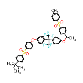 CCC(C)(C)c1ccc(S(=O)(=O)c2ccc(Oc3ccc(C(c4ccc(OC(C)c5ccc(S(=O)(=O)c6ccc(C)cc6)cc5)cc4)(C(F)(F)F)C(F)(F)F)cc3)cc2)cc1